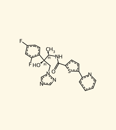 C[C@@H](NC(=O)c1ccc(-c2ccccn2)s1)[C@](O)(Cn1cncn1)c1ccc(F)cc1F